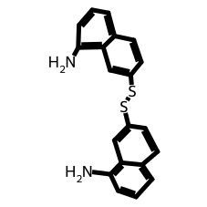 Nc1cccc2ccc(SSc3ccc4cccc(N)c4c3)cc12